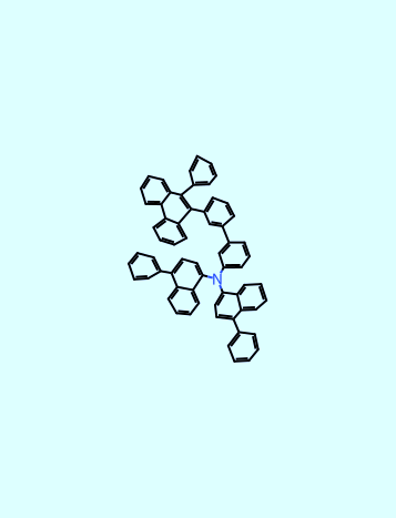 c1ccc(-c2ccc(N(c3cccc(-c4cccc(-c5c(-c6ccccc6)c6ccccc6c6ccccc56)c4)c3)c3ccc(-c4ccccc4)c4ccccc34)c3ccccc23)cc1